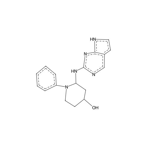 OC1CCN(c2ccccc2)C(Nc2ncc3cc[nH]c3n2)C1